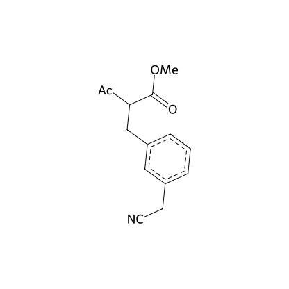 COC(=O)C(Cc1cccc(CC#N)c1)C(C)=O